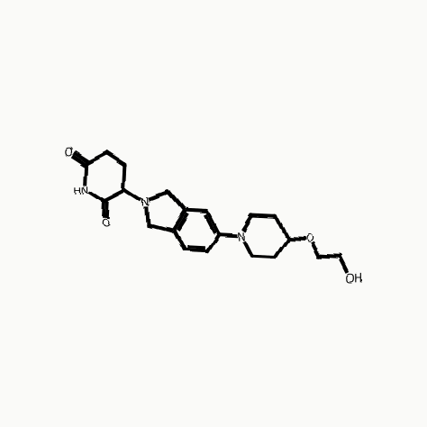 O=C1CCC(N2Cc3ccc(N4CCC(OCCO)CC4)cc3C2)C(=O)N1